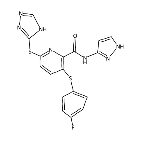 O=C(Nc1cc[nH]n1)c1nc(Sc2nnc[nH]2)ccc1Sc1ccc(F)cc1